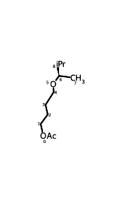 CC(=O)OCCCCO[C@H](C)C(C)C